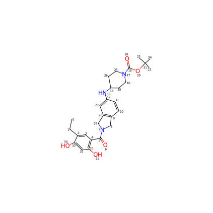 CCc1cc(C(=O)N2Cc3ccc(NC4CCN(C(=O)OC(C)(C)C)CC4)cc3C2)c(O)cc1O